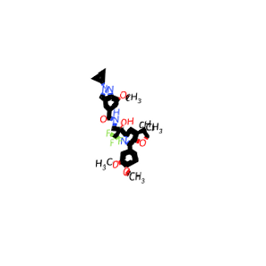 COc1ccc(-c2nc([C@](O)(CNC(=O)c3cc(OC)c4nn(C5CC5)cc4c3)C(F)(F)F)cc3c2OCC3(C)C)cc1OC